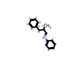 CC(C=Nc1ccccc1)Cc1ccccc1